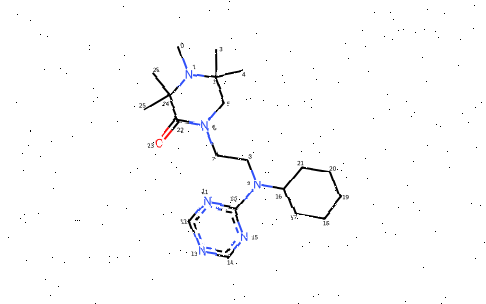 CN1C(C)(C)CN(CCN(c2ncncn2)C2CCCCC2)C(=O)C1(C)C